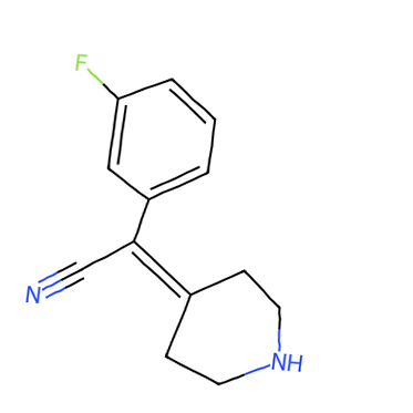 N#CC(=C1CCNCC1)c1cccc(F)c1